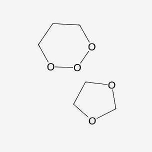 C1COCO1.C1COOOC1